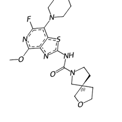 COc1nc(F)c(N2CCOCC2)c2sc(NC(=O)N3CC[C@]4(CCOC4)C3)nc12